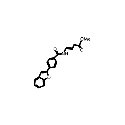 COC(=O)CC=CNC(=O)c1ccc(-c2cc3ccccc3o2)cc1